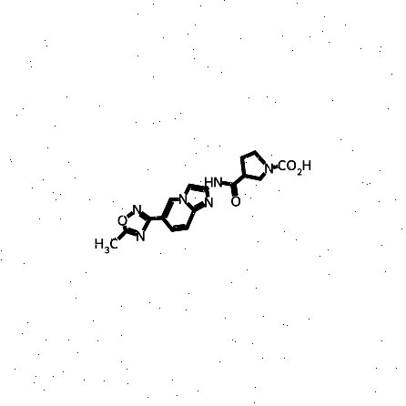 Cc1nc(-c2ccc3nc(NC(=O)C4CCN(C(=O)O)C4)cn3c2)no1